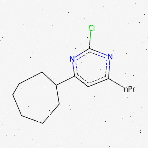 CCCc1cc(C2CCCCCC2)nc(Cl)n1